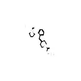 CC(C)(C)OC(=O)N1CCC(=Cc2ccccc2[C@H]2CCCN2C(=O)C(F)(F)F)CC1